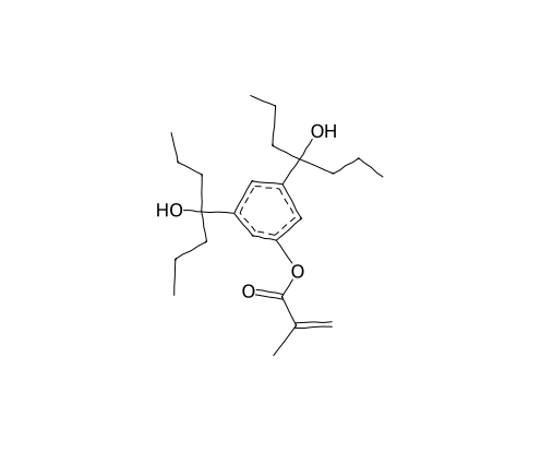 C=C(C)C(=O)Oc1cc(C(O)(CCC)CCC)cc(C(O)(CCC)CCC)c1